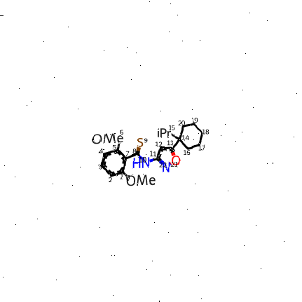 COc1cccc(OC)c1C(=S)Nc1cc(C2(C(C)C)CCCCC2)on1